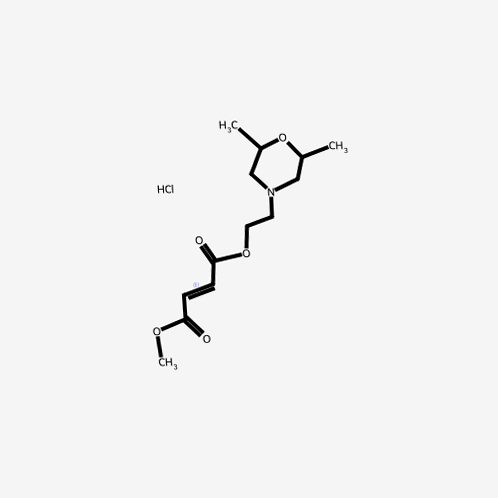 COC(=O)/C=C/C(=O)OCCN1CC(C)OC(C)C1.Cl